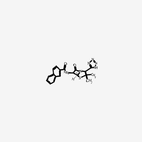 CC1(C)S[C@H]2C(NC(=O)c3ccc4ccccc4c3)C(=O)N2C1c1nnn[nH]1